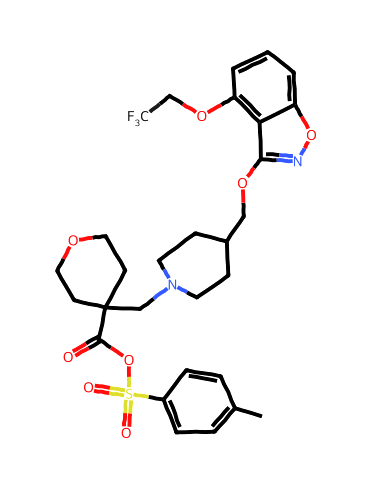 Cc1ccc(S(=O)(=O)OC(=O)C2(CN3CCC(COc4noc5cccc(OCC(F)(F)F)c45)CC3)CCOCC2)cc1